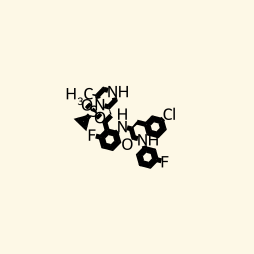 C[C@@H]1CNC[C@H](CCc2c(F)cccc2N[C@@H](Cc2cccc(Cl)c2)C(=O)Nc2cccc(F)c2)N1S(=O)(=O)C1CC1